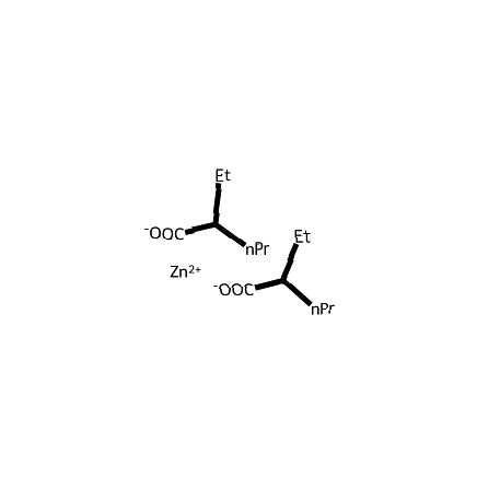 CCCC(CC)C(=O)[O-].CCCC(CC)C(=O)[O-].[Zn+2]